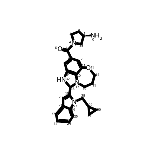 N[C@@H]1CCN(C(=O)c2cc3c4c(c2)OCCCN4C(c2cc4ccccc4n2CC2CC2)N3)C1